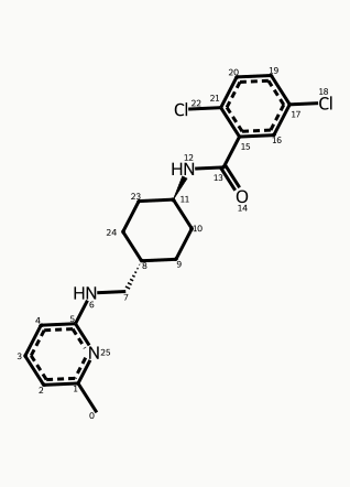 Cc1cccc(NC[C@H]2CC[C@H](NC(=O)c3cc(Cl)ccc3Cl)CC2)n1